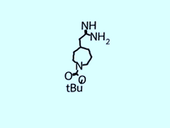 CC(C)(C)OC(=O)N1CCCC(CC(=N)N)CC1